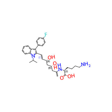 C=C(C[C@@H](O)C[C@@H](O)/C=C/c1c(-c2ccc(F)cc2)c2ccccc2n1C(C)C)N[C@@H](CCCCN)C(=O)O